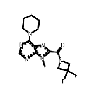 Cn1c(C(=O)N2CC(F)(F)C2)nc2c(N3CC[CH]CC3)ncnc21